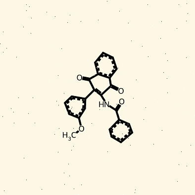 COc1cccc(C2=C(NC(=O)c3ccccc3)C(=O)c3ccccc3C2=O)c1